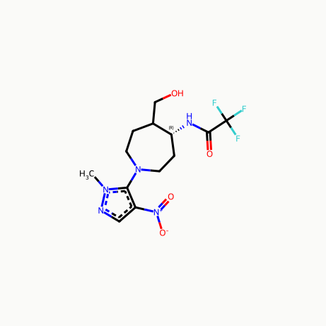 Cn1ncc([N+](=O)[O-])c1N1CCC(CO)[C@H](NC(=O)C(F)(F)F)CC1